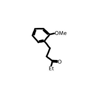 CCC(=O)CCc1ccccc1OC